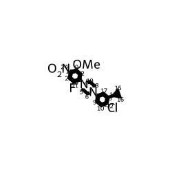 COc1cc(N2CCN(c3ccc(Cl)c(C4CC4)c3)CC2)c(F)cc1[N+](=O)[O-]